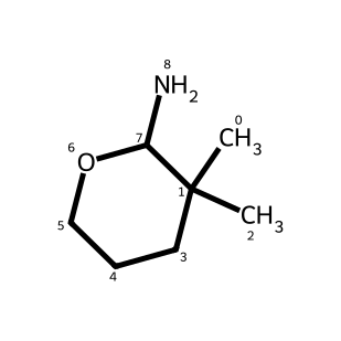 CC1(C)CCCOC1N